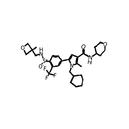 Cc1c(C(=O)NC2CCOCC2)cc(-c2ccc([S+]([O-])NCC3(C)COC3)c(C(F)(F)F)c2)n1CC1CCCCC1